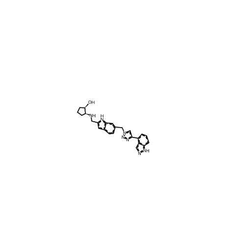 O[C@@H]1CCC[C@@H]1NCc1cc2ccc(Cn3cc(-c4cccc5[nH]ncc45)nn3)cc2[nH]1